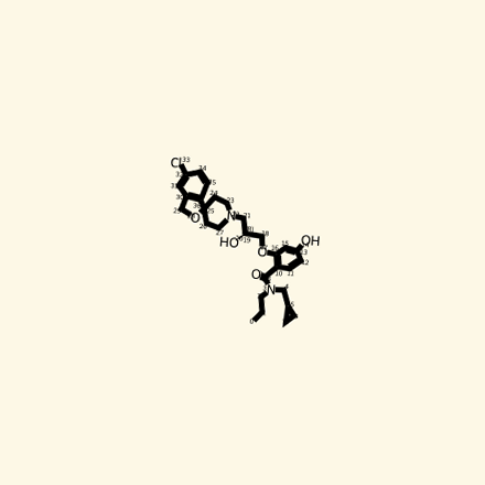 CCCN(CC1CC1)C(=O)c1ccc(O)cc1OC[C@H](O)CN1CCC2(CC1)OCc1cc(Cl)ccc12